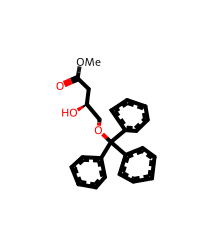 COC(=O)C[C@H](O)COC(c1ccccc1)(c1ccccc1)c1ccccc1